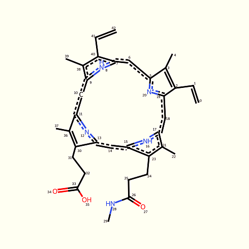 C=CC1=C(C)c2cc3[nH]c(cc4nc(cc5[nH]c(cc1n2)c(C)c5CCC(=O)NC)C(CCC(=O)O)=C4C)c(C)c3C=C